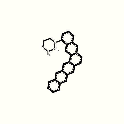 c1ccc2cc3cc4c(ccc5cc6cccc([SiH]7CCO[SiH2][SiH2]7)c6cc54)cc3cc2c1